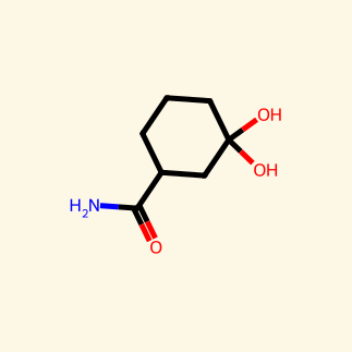 NC(=O)C1CCCC(O)(O)C1